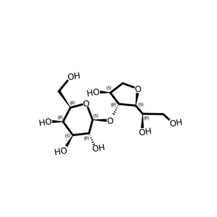 OC[C@@H](O)[C@@H]1OC[C@H](O)[C@H]1O[C@@H]1O[C@H](CO)[C@H](O)[C@H](O)[C@H]1O